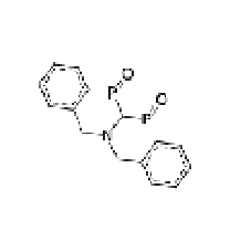 O=PC(P=O)N(Cc1ccccc1)Cc1ccccc1